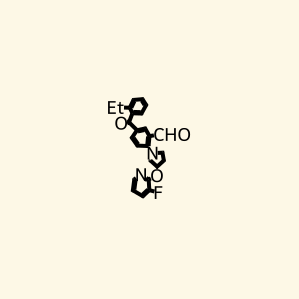 CCc1ccccc1C(=O)c1ccc(N2CC[C@H](Oc3ncccc3F)C2)c(C=O)c1